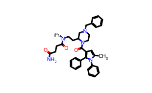 Cc1cc(C(=O)N2CCN(Cc3ccccc3)CC2CCN(C(=O)CCC(N)=O)C(C)C)c(-c2ccccc2)n1-c1ccccc1